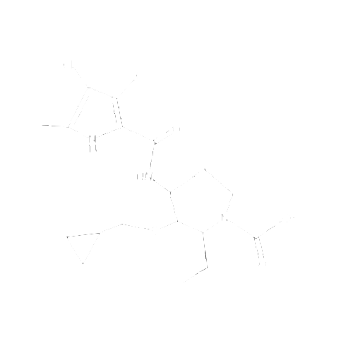 CCC1C(OCC2CC2)C(NC(=O)c2[nH]c(C)c(Cl)c2Cl)CCN1C(=O)O